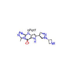 CCCCCn1c2cc(-c3cnn(C4CNC4)c3)[nH]c2c(=O)n2c(C)nnc12